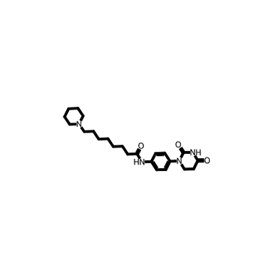 O=C1CCN(c2ccc(NC(=O)CCCCCCCN3CCCCC3)cc2)C(=O)N1